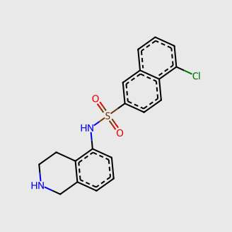 O=S(=O)(Nc1cccc2c1CCNC2)c1ccc2c(Cl)cccc2c1